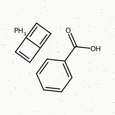 O=C(O)c1ccccc1.P.c1cc2ccc1-2